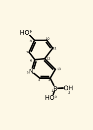 OB(O)c1cnc2cc(O)ccc2c1